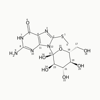 CSc1nc2c(=O)[nH]c(N)nc2n1[C@]1(O)O[C@H](CO)[C@@H](O)[C@H](O)[C@H]1O